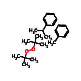 CC(C)(C)OOC(C)(C)C.CC(C)c1ccccc1.Cc1ccccc1